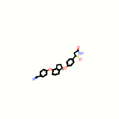 N#Cc1ccc(Oc2cccc3c2CC[C@H]3Oc2ccc(C3CC(=O)N[S+]3[O-])cc2)cc1